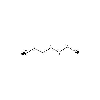 CCCCCCC[CH2][Zn]